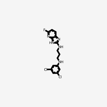 Fc1ccc2nc(NCCCNc3cc(Cl)cc(Cl)c3)[nH]c2n1